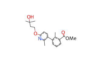 COC(=O)c1cccc(-c2ccc(OCCC(C)(C)O)nc2C)c1C